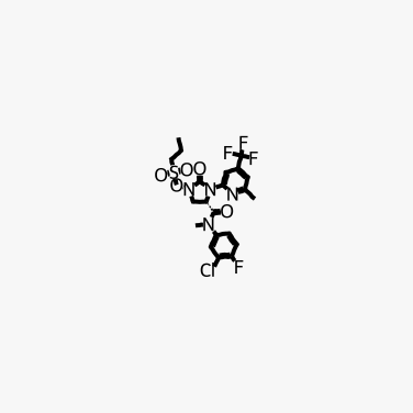 CCCS(=O)(=O)ON1C[C@@H](C(=O)N(C)c2ccc(F)c(Cl)c2)N(c2cc(C(F)(F)F)cc(C)n2)C1=O